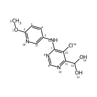 COc1ccc(Nc2ncnc(C(O)O)c2Cl)cn1